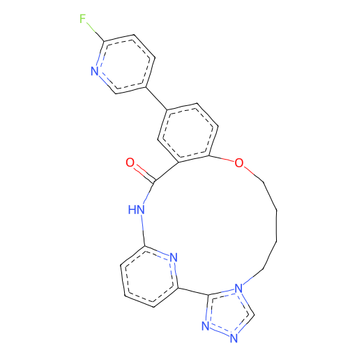 O=C1Nc2cccc(n2)-c2nncn2CCCCOc2ccc(-c3ccc(F)nc3)cc21